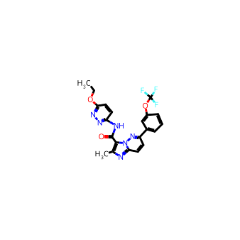 CCOc1ccc(NC(=O)c2c(C)nc3ccc(-c4cccc(OC(F)(F)F)c4)nn23)nn1